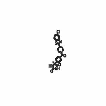 C[C@]1(c2ccc(C(=O)N3CCC(c4nc5cc(Cl)ccc5s4)CC3)cc2)NC(=O)NC1=O